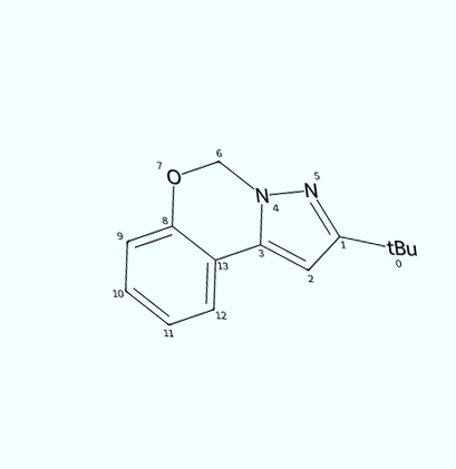 CC(C)(C)c1cc2n(n1)COc1ccccc1-2